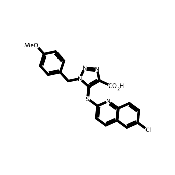 COc1ccc(Cn2nnc(C(=O)O)c2Sc2ccc3cc(Cl)ccc3n2)cc1